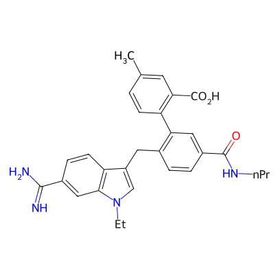 CCCNC(=O)c1ccc(Cc2cn(CC)c3cc(C(=N)N)ccc23)c(-c2ccc(C)cc2C(=O)O)c1